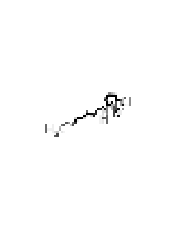 CCCCCCCCNc1cccc(Cl)[n+]1[O-]